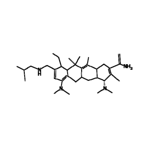 C=C(N)C1=C(C)[C@H](N(C)C)C2CC3CC4=C(N(C)C)C=C(CNCC(C)C)C(CC)C4C(C)(C)C3=C(C)C2C1